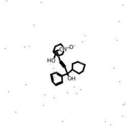 [O-][N+]12CCC(CC1)C(O)(C#CC(O)(c1ccccc1)C1CCCCC1)C2